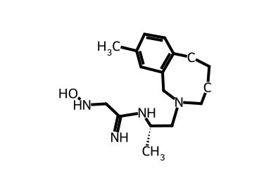 Cc1ccc2c(c1)CN(C[C@H](C)NC(=N)CNO)CCCC2